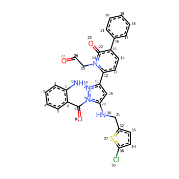 Nc1ccccc1C(=O)n1nc(-c2ccc(-c3ccccc3)c(=O)n2CC=O)cc1NCc1ccc(Cl)s1